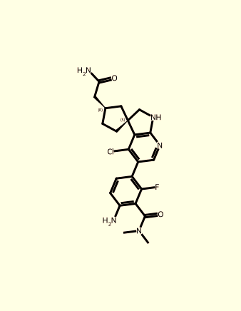 CN(C)C(=O)c1c(N)ccc(-c2cnc3c(c2Cl)[C@@]2(CC[C@@H](CC(N)=O)C2)CN3)c1F